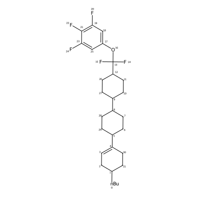 CCCCC1CC=C(C2CCC(C3CCC(C(F)(F)Oc4cc(F)c(F)c(F)c4)CC3)CC2)CC1